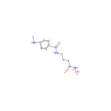 CNc1ccc(C(=O)NCCCC(=O)NO)cc1